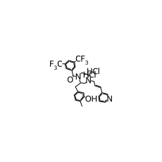 Cc1ccc(CC2CN(CC=Cc3cccnc3)CCN2C(=O)c2cc(C(F)(F)F)cc(C(F)(F)F)c2)cc1O.Cl.Cl